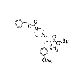 CC(=O)Oc1ccc(CC(CN2CCCN(C(=O)OCc3ccccc3)CC2)N(C)C(=O)OC(C)(C)C)cc1